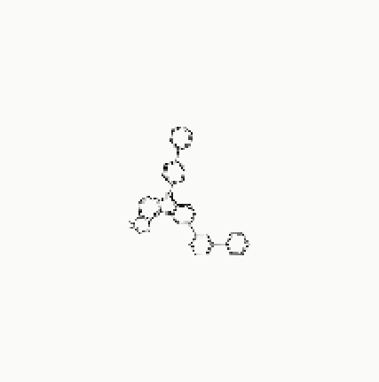 c1ccc(-c2ccc(-n3c4ccc(-c5cccc(-c6ccccc6)c5)cc4c4c5ccsc5ccc43)cc2)cc1